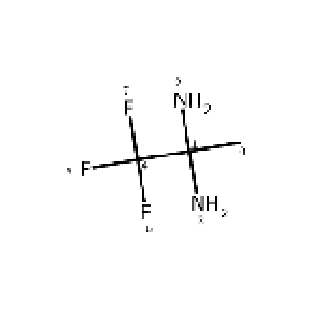 CC(N)(N)C(F)(F)F